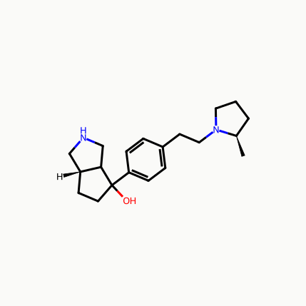 C[C@@H]1CCCN1CCc1ccc(C2(O)CC[C@@H]3CNCC32)cc1